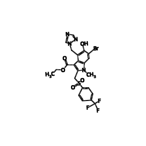 CCOC(=O)c1c(CS(=O)(=O)c2ccc(C(F)(F)F)cc2)n(C)c2cc(Br)c(O)c(Cn3cncn3)c12